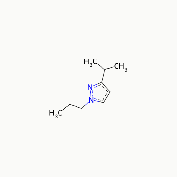 CCCn1ccc(C(C)C)n1